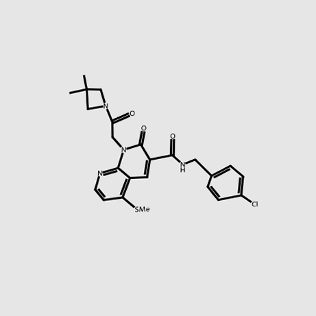 CSc1ccnc2c1cc(C(=O)NCc1ccc(Cl)cc1)c(=O)n2CC(=O)N1CC(C)(C)C1